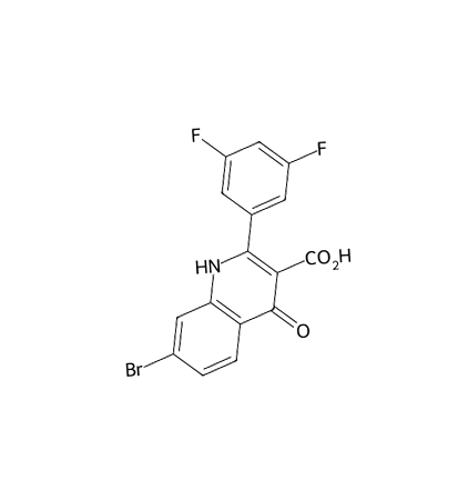 O=C(O)c1c(-c2cc(F)cc(F)c2)[nH]c2cc(Br)ccc2c1=O